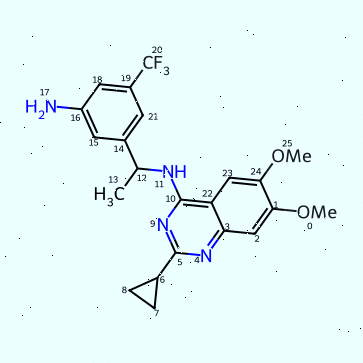 COc1cc2nc(C3CC3)nc(NC(C)c3cc(N)cc(C(F)(F)F)c3)c2cc1OC